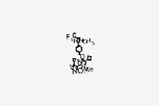 COc1ncnc(C2CC2)c1-c1ncc(C2CCC2)c(OCc2ccc(-c3nc(C(F)(F)F)cn3C)cc2)n1